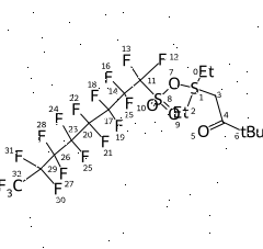 CCS(CC)(CC(=O)C(C)(C)C)OS(=O)(=O)C(F)(F)C(F)(F)C(F)(F)C(F)(F)C(F)(F)C(F)(F)C(F)(F)C(F)(F)F